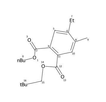 CCCCOC(=O)c1cc(CC)c(C)cc1C(=O)OCC(C)(C)C